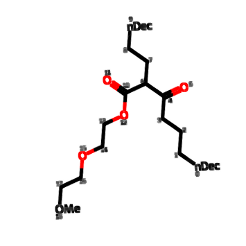 CCCCCCCCCCCCCC(=O)C(CCCCCCCCCCCC)C(=O)OCCOCCOC